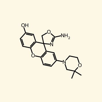 CC1(C)CN(c2ccc3c(c2)C2(COC(N)=N2)c2cc(O)ccc2O3)CCO1